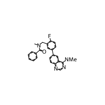 CNc1ncnc2ccc(-c3ccc(F)c(CN(C)C(=O)c4ccccc4)c3)cc12